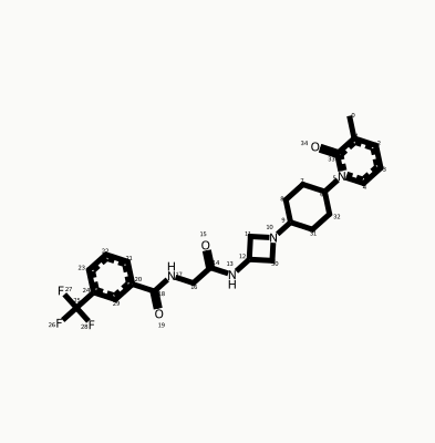 Cc1cccn(C2CCC(N3CC(NC(=O)CNC(=O)c4cccc(C(F)(F)F)c4)C3)CC2)c1=O